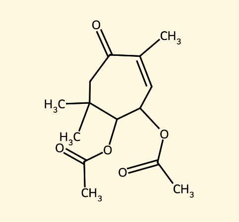 CC(=O)OC1C=C(C)C(=O)CC(C)(C)C1OC(C)=O